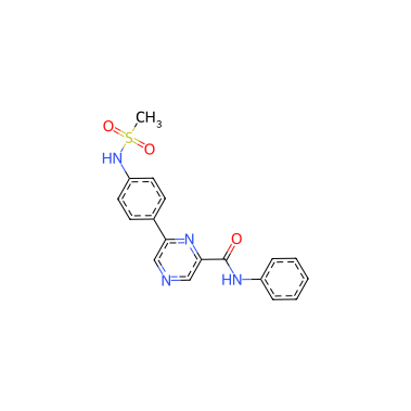 CS(=O)(=O)Nc1ccc(-c2cncc(C(=O)Nc3ccccc3)n2)cc1